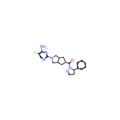 Nc1nc(N2CC3CC(C(=O)N4N=CCC4c4ccccc4)CC3C2)ncc1F